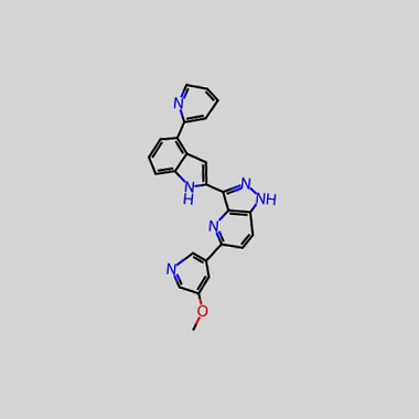 COc1cncc(-c2ccc3[nH]nc(-c4cc5c(-c6ccccn6)cccc5[nH]4)c3n2)c1